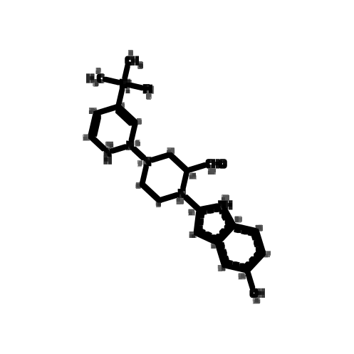 CC[N+](C)(C)C1=CN(N2CCN(c3cc4cc(O)ccc4[nH]3)C(C=O)C2)NC=C1